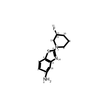 Nc1ccc2sc(N3CCC[C@H](F)C3)nc2c1